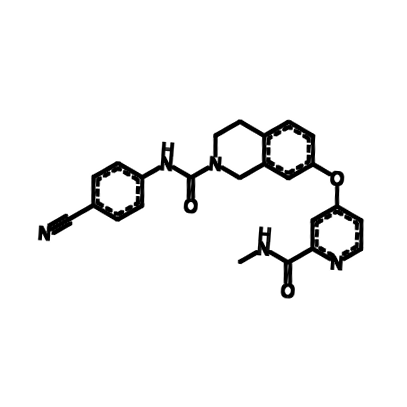 CNC(=O)c1cc(Oc2ccc3c(c2)CN(C(=O)Nc2ccc(C#N)cc2)CC3)ccn1